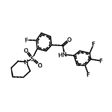 O=C(Nc1cc(F)c(F)c(F)c1)c1ccc(F)c(S(=O)(=O)N2CCCCC2)c1